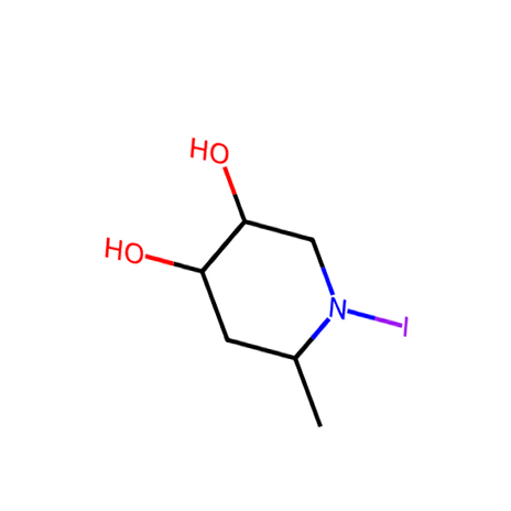 CC1CC(O)C(O)CN1I